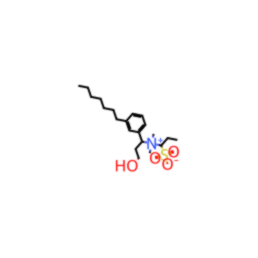 CCCCCCCc1cccc(C(CCO)[N+](C)(C)C(CC)S(=O)(=O)[O-])c1